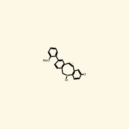 COc1ccccc1-c1ccc2c(c1)/C=C\c1cc(Cl)ccc1N(C(C)=O)C2